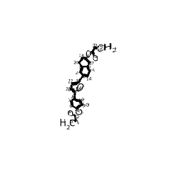 C=CC(=O)Oc1ccc(-c2ccc(-c3ccc4cc(OC(=O)C=C)ccc4c3)o2)cc1